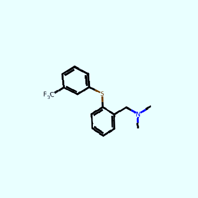 CN(C)Cc1ccccc1Sc1cccc(C(F)(F)F)c1